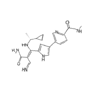 CNC(=O)c1ccc(-c2c[nH]c(/C(N[C@H](C)C3CC3)=C(\C=N)C(N)=O)c2)cn1